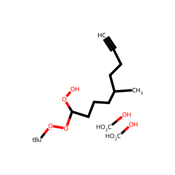 C#CCCC(C)CCCC(OO)OOC(C)(C)C.O=C(O)O.O=C(O)O